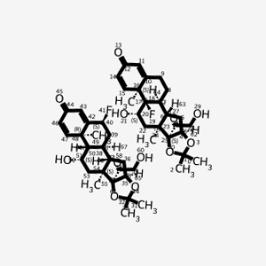 CC1(C)O[C@@H]2C[C@H]3[C@@H]4CCC5=CC(=O)C=C[C@]5(C)[C@@]4(F)[C@@H](O)C[C@]3(C)[C@]2(C(=O)CO)O1.CC1(C)O[C@@H]2C[C@H]3[C@@H]4C[C@H](F)C5=CC(=O)C=C[C@]5(C)[C@H]4[C@@H](O)C[C@]3(C)[C@]2(C(=O)CO)O1